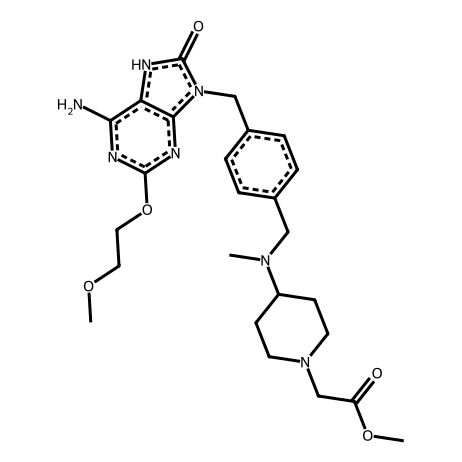 COCCOc1nc(N)c2[nH]c(=O)n(Cc3ccc(CN(C)C4CCN(CC(=O)OC)CC4)cc3)c2n1